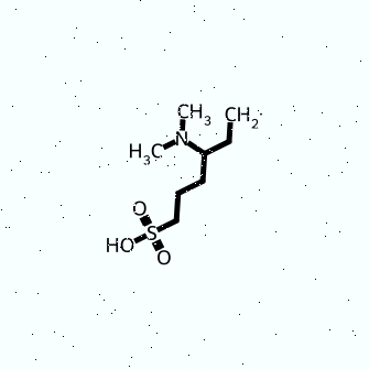 [CH2]CC(CCCS(=O)(=O)O)N(C)C